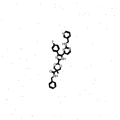 CC1(C(=O)NCc2ccccc2)COC(c2nc(-c3ccc(F)cc3)c(-c3ccnc(NCc4cccnc4)n3)[nH]2)OC1